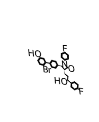 O=C1[C@H](CC[C@H](O)c2ccc(F)cc2)[C@@H](c2ccc(-c3cc(O)ccc3Br)cc2)N1c1ccc(F)cc1